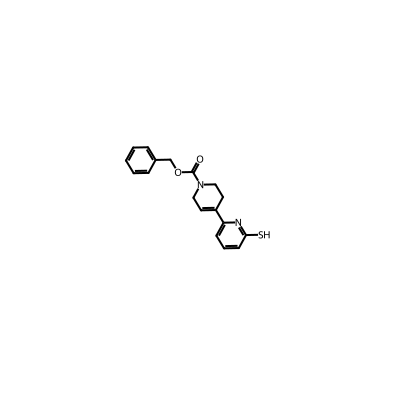 O=C(OCc1ccccc1)N1CC=C(c2cccc(S)n2)CC1